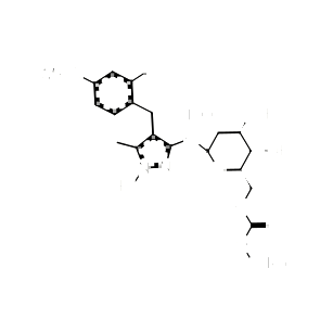 CCCCCCOC(=O)OC[C@H]1O[C@@](O)(Oc2nn(C(C)C)c(C)c2Cc2ccc(OC)cc2F)[C@H](O)[C@@H](O)[C@@H]1O